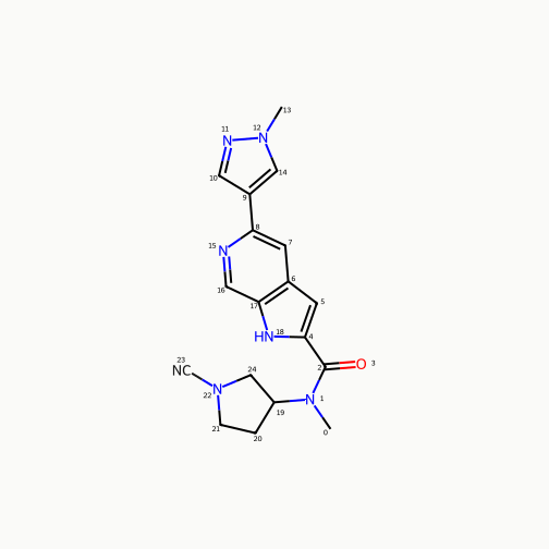 CN(C(=O)c1cc2cc(-c3cnn(C)c3)ncc2[nH]1)C1CCN(C#N)C1